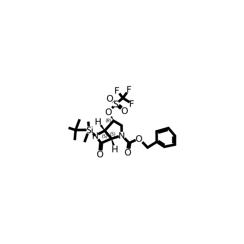 CC(C)(C)[Si](C)(C)N1C(=O)[C@@H]2[C@H]1[C@H](OS(=O)(=O)C(F)(F)F)CN2C(=O)OCc1ccccc1